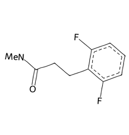 CNC(=O)CCc1c(F)cccc1F